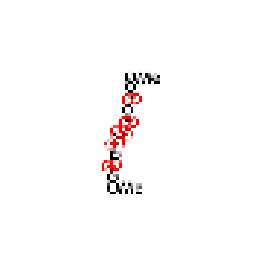 COc1ccc(C(=O)Oc2ccc(C(=O)OC3COC4C3OC[C@H]4OC(=O)c3ccc(OC(=O)c4ccc(OC)cc4)cc3)cc2)cc1